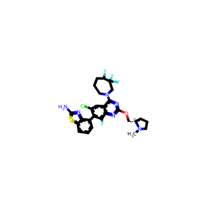 CN1CCC[C@H]1COc1nc(N2CCCC(F)C(F)(F)C2)c2cc(Cl)c(-c3cccc4sc(N)nc34)c(F)c2n1